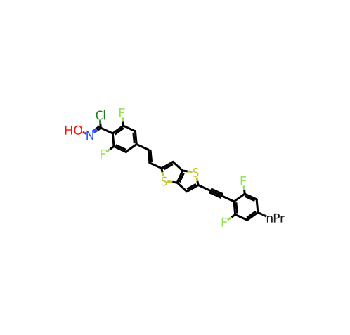 CCCc1cc(F)c(C#Cc2cc3sc(/C=C/c4cc(F)c(/C(Cl)=N/O)c(F)c4)cc3s2)c(F)c1